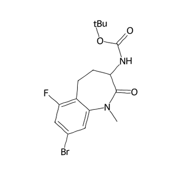 CN1C(=O)C(NC(=O)OC(C)(C)C)CCc2c(F)cc(Br)cc21